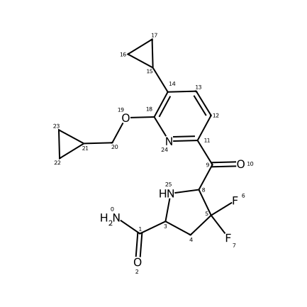 NC(=O)C1CC(F)(F)C(C(=O)c2ccc(C3CC3)c(OCC3CC3)n2)N1